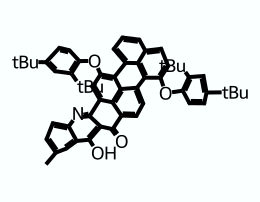 Cc1ccc2nc3c(c(O)c2c1)C(=O)c1ccc2c4c(Oc5ccc(C(C)(C)C)cc5C(C)(C)C)ccc5cccc(c6c(Oc7ccc(C(C)(C)C)cc7C(C)(C)C)cc-3c1c26)c54